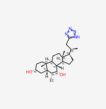 CC[C@H]1[C@@H](O)[C@@H]2[C@H](CC[C@]3(C)[C@@H]([C@H](C)Cc4nnn[nH]4)CC[C@@H]23)[C@@]2(C)CC[C@@H](O)C[C@@H]12